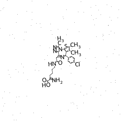 Cc1sc2c(c1C)C(c1ccc(Cl)cc1)=N[C@@H](CC(=O)NCCCC[C@@H](N)C(=O)O)c1nnc(C)n1-2